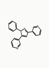 c1ccc(-n2nc(-c3cccnc3)cc2-c2cccnc2)cc1